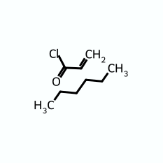 C=CC(=O)Cl.CCCCCC